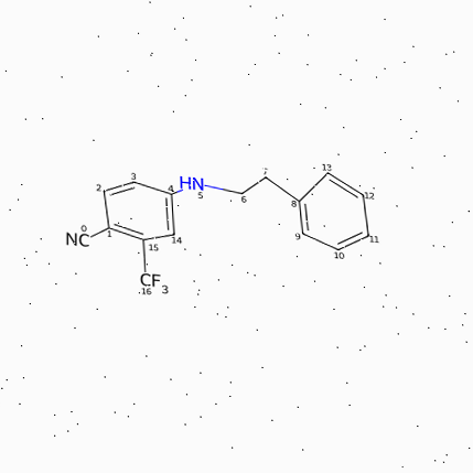 N#Cc1ccc(NCCc2ccccc2)cc1C(F)(F)F